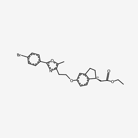 CCOC(=O)C[C@@H]1CCc2cc(OCCc3nc(-c4ccc(Br)cc4)oc3C)ccc21